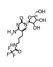 Nc1nc(=O)n([C@@H]2O[C@H](CO)C(O)C2O)cc1CCCNC(=O)C(F)(F)F